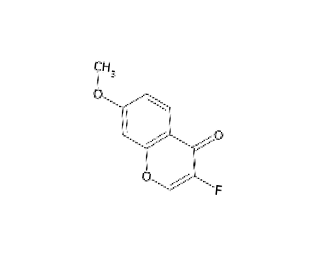 COc1ccc2c(=O)c(F)coc2c1